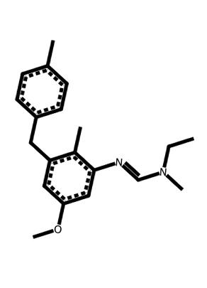 CCN(C)/C=N/c1cc(OC)cc(Cc2ccc(C)cc2)c1C